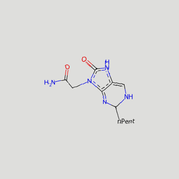 CCCCCC1N=c2c([nH]c(=O)n2CC(N)=O)=CN1